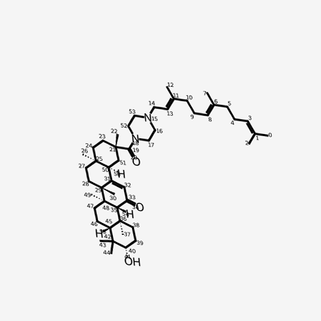 CC(C)=CCC/C(C)=C/CC/C(C)=C/CN1CCN(C(=O)[C@@]2(C)CC[C@]3(C)CC[C@]4(C)C(=CC(=O)[C@@H]5[C@@]6(C)CC[C@H](O)C(C)(C)[C@@H]6CC[C@]54C)[C@@H]3C2)CC1